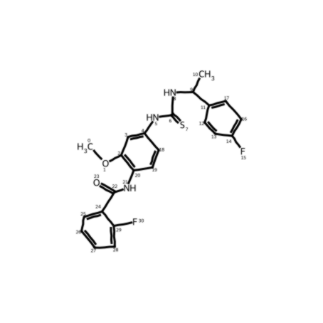 COc1cc(NC(=S)NC(C)c2ccc(F)cc2)ccc1NC(=O)c1ccccc1F